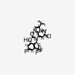 CC(C)c1cnc2c(N(Cc3ccc(F)cc3C(F)(F)F)C(=O)O)cc(Cl)nn12